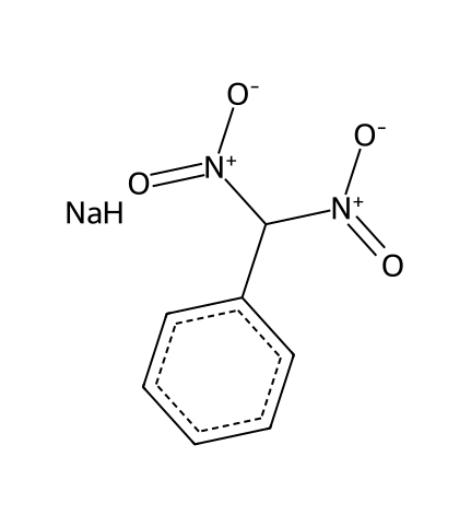 O=[N+]([O-])C(c1ccccc1)[N+](=O)[O-].[NaH]